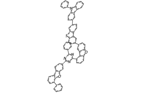 c1ccc(-c2nc(-c3ccc4c(c3)oc3c(-c5ccccc5)cccc34)nc(-c3cccc4oc5ccc(-c6ccc7sc8cc(-c9ccc%10c(c9)c9ccccc9n%10-c9ccccc9)ccc8c7c6)cc5c34)n2)cc1